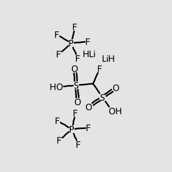 FP(F)(F)(F)F.FP(F)(F)(F)F.O=S(=O)(O)C(F)S(=O)(=O)O.[LiH].[LiH]